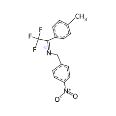 Cc1ccc(/C(=N\Cc2ccc([N+](=O)[O-])cc2)C(F)(F)F)cc1